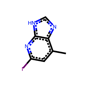 Cc1cc(I)nc2[nH]cnc12